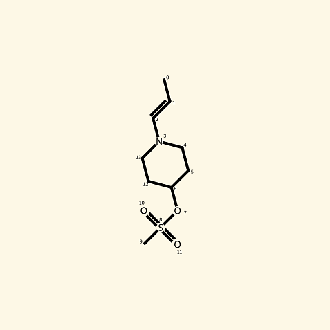 CC=CN1CCC(OS(C)(=O)=O)CC1